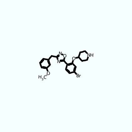 COc1cccc(Cc2noc(-c3ccc(Br)cc3OC3CCNCC3)n2)c1